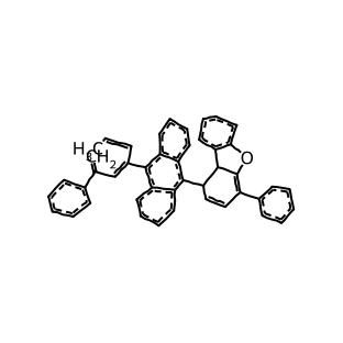 C=C(/C=C(\C=C/C)c1c2ccccc2c(C2C=CC(c3ccccc3)=C3Oc4ccccc4C32)c2ccccc12)c1ccccc1